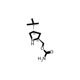 CC(C)(C)[C@H]1CN[C@H](COC(N)=O)C1